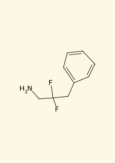 NCC(F)(F)Cc1ccccc1